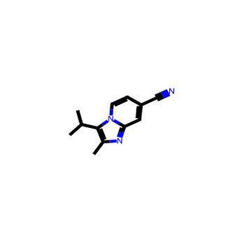 Cc1nc2cc(C#N)ccn2c1C(C)C